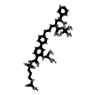 CC(=O)OCCCS(=O)(=O)NC(=O)c1ccc(-c2ccc(CCCN(C[C@H](O)c3cccnc3)C(=O)OC(C)(C)C)cc2)cc1OC(C)C